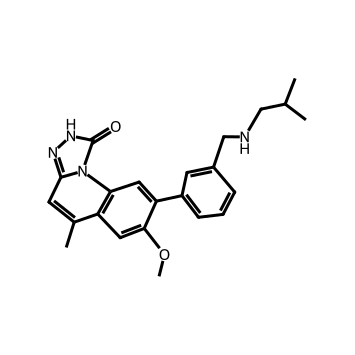 COc1cc2c(C)cc3n[nH]c(=O)n3c2cc1-c1cccc(CNCC(C)C)c1